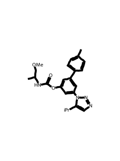 COCC(C)NC(=O)Oc1cc(-c2ccc(C)cc2)cc(-n2nncc2C(C)C)c1